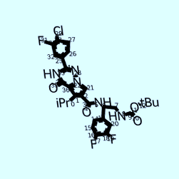 CC(C)c1c(C(=O)NC(CNC(=O)OC(C)(C)C)c2ccc(F)c(F)c2)cn2nc(-c3ccc(Cl)c(F)c3)[nH]c(=O)c12